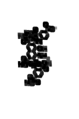 Nc1c(N=Nc2cc(S(=O)(=O)O)ccc2S(=O)(=O)O)c(S(=O)(=O)O)cc2cc(S(=O)(=O)O)c(N=Nc3ccc([N+](=O)[O-])cc3S(=O)(=O)O)c(O)c12